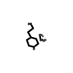 CC(=O)O.OCCC1CCNCC1